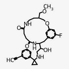 C#Cc1cccc(C2(NCC(O)C3Cc4cc(F)cc(c4)OCC(COC)CCNC(=O)CCC(=O)N3)CC2)c1